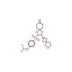 O=S(=O)(c1ccc(OC(F)F)cc1)C1OC2(CCNCC2)CC1N1CC2(CCOC2)C1